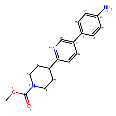 COC(=O)N1CCC(c2ccc(-c3ccc(N)cc3)cn2)CC1